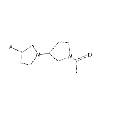 CC(=O)N1CCC(N2CCC(F)C2)C1